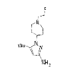 CC(C)(C)c1cc(N)nn1C1CCN(CCF)CC1